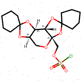 O=S(=O)(Cl)OC[C@@]12OC[C@H]3OC4(CCCCC4)O[C@H]3[C@@H]1OC1(CCCCC1)O2